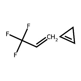 C1=CC1.C=CC(F)(F)F